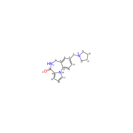 O=C1NCc2cc(CN3CCCC3)ccc2-n2cccc21